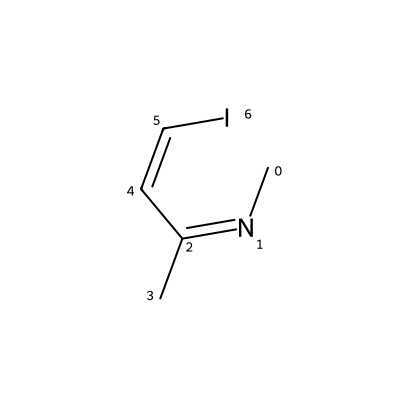 C/N=C(C)\C=C/I